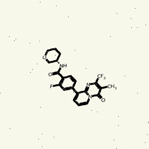 Cc1c(C(F)(F)F)nc2c(-c3ccc(C(=O)N[C@H]4CCCOC4)c(F)c3)cccn2c1=O